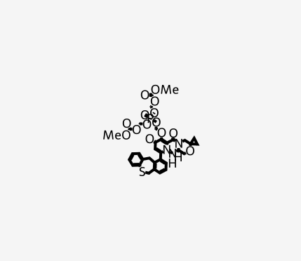 COC(=O)OCOP(=O)(OCOC(=O)OC)OCOc1c2n(c(-c3cccc4c3Cc3ccccc3SC4)cc1=O)N[C@@H]1COC3(CC3)CN1C2=O